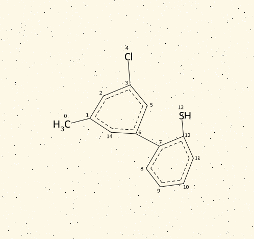 Cc1cc(Cl)cc(-c2ccccc2S)c1